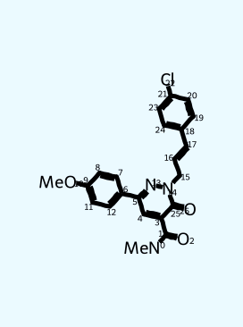 CNC(=O)c1cc(-c2ccc(OC)cc2)nn(CC=Cc2ccc(Cl)cc2)c1=O